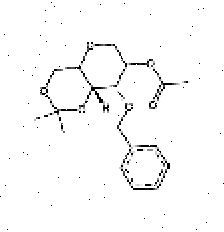 CC(=O)OC1COC2COC(C)(C)O[C@H]2[C@H]1OCc1ccccc1